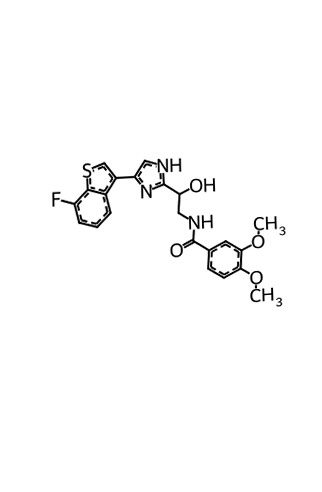 COc1ccc(C(=O)NCC(O)c2nc(-c3csc4c(F)cccc34)c[nH]2)cc1OC